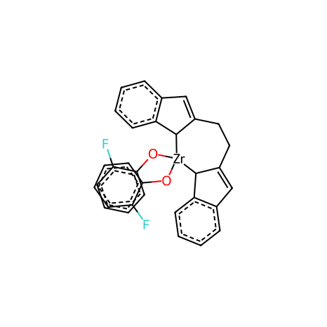 Fc1ccccc1[O][Zr]1([O]c2ccccc2F)[CH]2C(=Cc3ccccc32)CCC2=Cc3ccccc3[CH]21